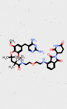 COc1cc(Cc2cnc(N)nc2N)cc(OC)c1OC(C)(C)CC(C)(C)C(=O)NCCOCCNc1cccc2c1C(=O)N(C1CCC(=O)NC1=O)C2=O